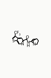 O=C(NC1CC2CCN1C2)c1cc2c(C(F)(F)F)csc2cn1